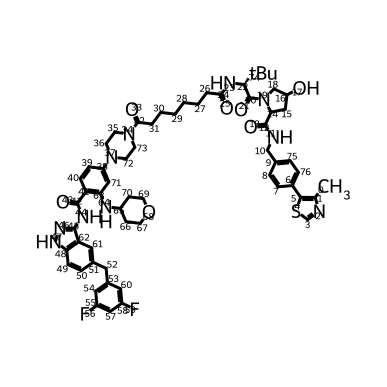 Cc1ncsc1-c1ccc(CNC(=O)C2CC(O)CN2C(=O)[C@@H](NC(=O)CCCCCCC(=O)N2CCN(c3ccc(C(=O)Nc4n[nH]c5ccc(Cc6cc(F)cc(F)c6)cc45)c(NC4CCOCC4)c3)CC2)C(C)(C)C)cc1